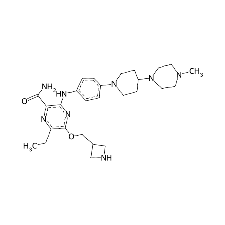 CCc1nc(C(N)=O)c(Nc2ccc(N3CCC(N4CCN(C)CC4)CC3)cc2)nc1OCC1CNC1